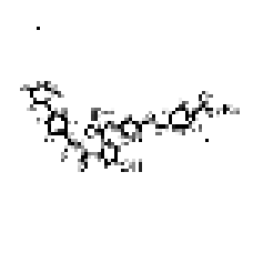 CC(C)[C@@H](C(=O)N1C[C@H](O)C[C@H]1C(=O)N[C@@H](C)c1ccc(-c2ccnn2C)cc1)c1cc(OCC2CCN(C(=O)OC(C)(C)C)CC2)no1